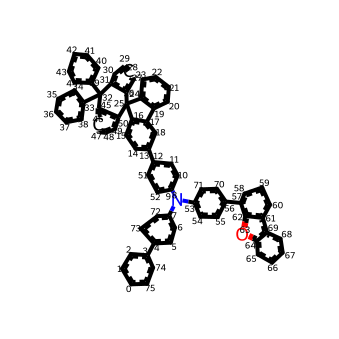 c1ccc(-c2ccc(N(c3ccc(-c4ccc5c(c4)-c4ccccc4C54c5ccccc5C(c5ccccc5)(c5ccccc5)c5ccccc54)cc3)c3ccc(-c4cccc5c4oc4ccccc45)cc3)cc2)cc1